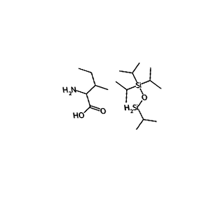 CC(C)[SiH2]O[Si](C(C)C)(C(C)C)C(C)C.CCC(C)C(N)C(=O)O